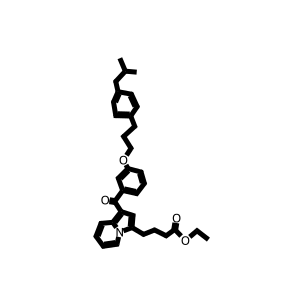 CCOC(=O)CCCc1cc(C(=O)c2cccc(OCCCc3ccc(CC(C)C)cc3)c2)c2ccccn12